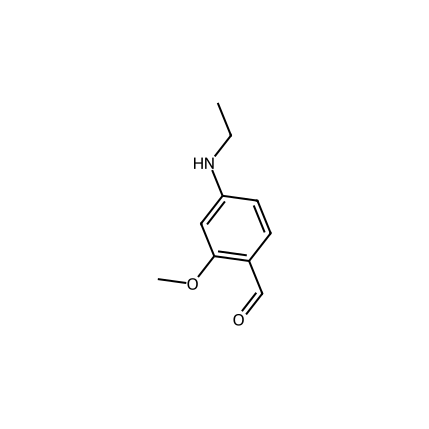 CCNc1ccc(C=O)c(OC)c1